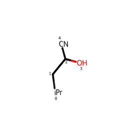 CC(C)CC(O)C#N